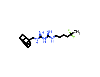 CC(F)(F)CCCCNC(=N)NC(=N)NCC12C3CC4C3C13C4C23